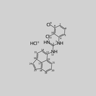 Cl.N=C(Nc1cccc(Cl)c1Cl)Nc1ccc2c3c(cccc13)C=C2